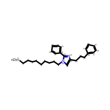 CCCCCCCCCCCCCCCCCCCn1cc(CCCc2ccccc2)nc1-c1ccccc1